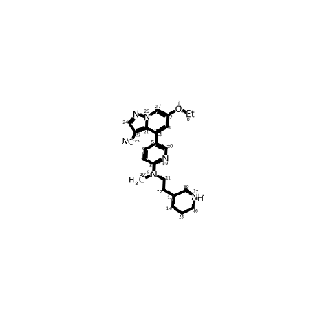 CCOc1cc(-c2ccc(N(C)CCC3CCCNC3)nc2)c2c(C#N)cnn2c1